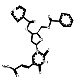 COC(=O)C=Cc1cn([C@H]2CC(OC(=O)c3ccccc3)[C@@H](COC(=O)c3ccccc3)O2)c(=O)[nH]c1=O